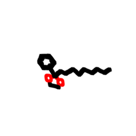 CCCCCCCCCC1(c2ccccc2)OCCO1